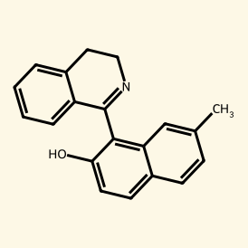 Cc1ccc2ccc(O)c(C3=NCCc4ccccc43)c2c1